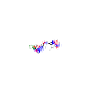 Cn1c(=O)n(C2CCC(=O)NC2=O)c2ccc(C3CCN(C(=O)c4ccc(NC(=O)[C@@H]5NC6(CCCCC6)[C@@]6(C(=O)Nc7cc(Cl)ccc76)[C@H]5c5cccc(Cl)c5F)c(C(=O)O)c4)CC3)cc21